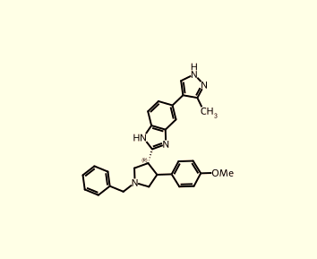 COc1ccc(C2CN(Cc3ccccc3)C[C@@H]2c2nc3cc(-c4c[nH]nc4C)ccc3[nH]2)cc1